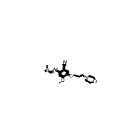 COc1cc(/N=C/N(C)C)c(C#N)cc1OCCCN1CCOCC1